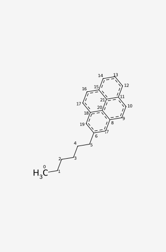 CCCCCCc1[c]c2ccc3cccc4ccc(c1)c2c34